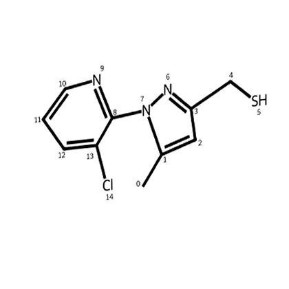 Cc1cc(CS)nn1-c1ncccc1Cl